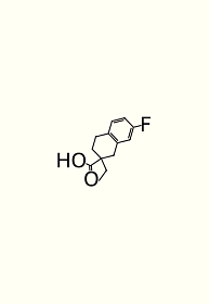 CCC1(C(=O)O)CCc2ccc(F)cc2C1